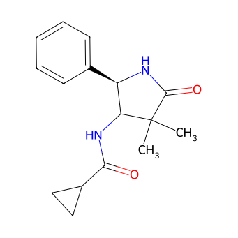 CC1(C)C(=O)N[C@H](c2ccccc2)C1NC(=O)C1CC1